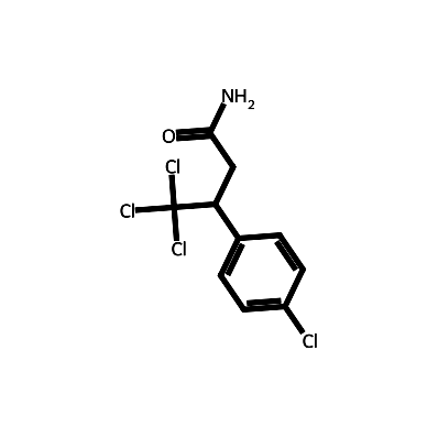 NC(=O)CC(c1ccc(Cl)cc1)C(Cl)(Cl)Cl